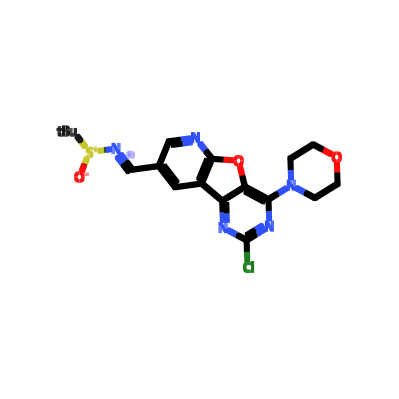 CC(C)(C)[S+]([O-])/N=C/c1cnc2oc3c(N4CCOCC4)nc(Cl)nc3c2c1